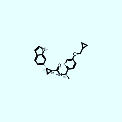 C[C@@H](NC(=O)[C@H]1C[C@@H]1c1ccc2cc[nH]c2c1)c1ccc(OCC2CC2)cn1